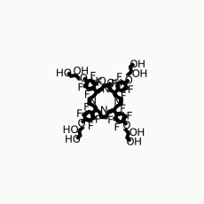 OCC(O)COc1c(F)c(F)c(C2=C3C=CC(=N3)C(c3c(F)c(F)c(OCC(O)CO)c(F)c3F)=C3C=CC(=N3)C(c3c(F)c(F)c(OCC(O)CO)c(F)c3F)=C3N=C(C(O)=C3O)C(c3c(F)c(F)c(OCC(O)CO)c(F)c3F)=C3C=CC2=N3)c(F)c1F